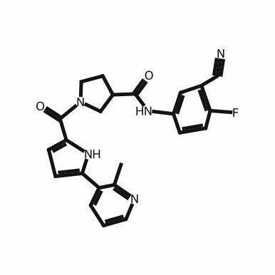 Cc1ncccc1-c1ccc(C(=O)N2CCC(C(=O)Nc3ccc(F)c(C#N)c3)C2)[nH]1